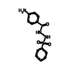 Nc1ccc(C(=O)NNS(=O)(=O)c2ccccc2)cc1